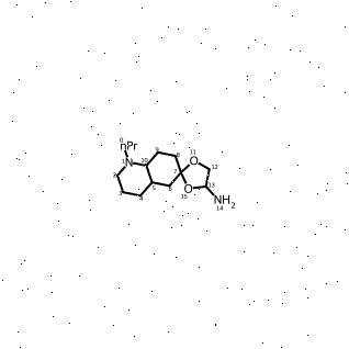 CCCN1CCCC2CC3(CCC21)OCC(N)O3